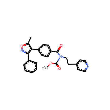 Cc1onc(-c2ccccc2)c1-c1ccc(C(=O)N(CCc2ccncc2)C(=O)OC(C)(C)C)cc1